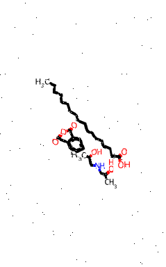 CC(O)CNCC(C)O.CCCCCCCCCCCCCCCCCC(=O)O.O=C1OC(=O)c2ccccc21